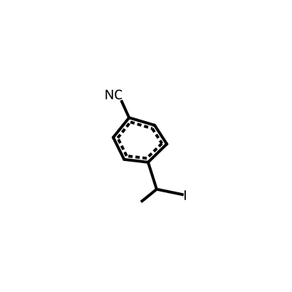 CC(I)c1ccc(C#N)cc1